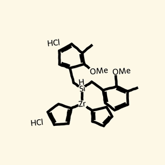 COc1c(C)cccc1C[SiH](Cc1cccc(C)c1OC)[Zr]([C]1=CC=CC1)[C]1=CC=CC1.Cl.Cl